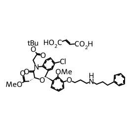 COC(=O)C[C@H]1O[C@H](c2cccc(OCCCNCCCc3ccccc3)c2OC)c2cc(Cl)ccc2N(CC(=O)OC(C)(C)C)C1=O.O=C(O)C=CC(=O)O